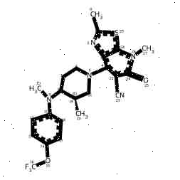 Cc1nc2c(N3CCC(N(C)c4ccc(OC(F)(F)F)cc4)[C@H](C)C3)c(C#N)c(=O)n(C)c2s1